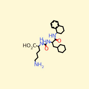 NCCCC[C@H](NC(=O)NC(CC1CCCCC1)C(=O)N[C@@H]1CCCc2ccccc21)C(=O)O